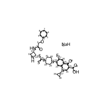 O=C(COc1ccccc1)N[C@@H]1CN[C@H]1SC(=S)N1CCN(c2cc3c(cc2F)c(=O)c(C(=O)O)cn3C2CC2)CC1.[NaH]